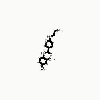 NCCNc1ccc(C(=O)Nc2ccc(C(F)(F)F)cc2N)cn1